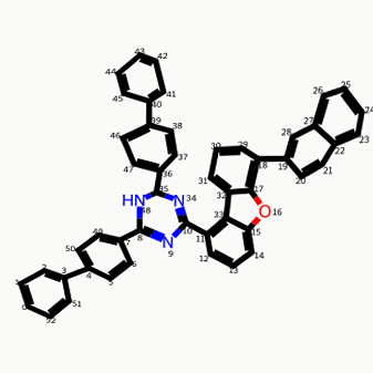 c1ccc(-c2ccc(C3=NC(c4cccc5oc6c(-c7ccc8ccccc8c7)cccc6c45)=NC(c4ccc(-c5ccccc5)cc4)N3)cc2)cc1